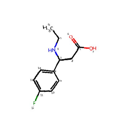 CCNC(CC(=O)O)c1ccc(F)cc1